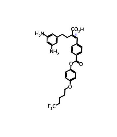 Nc1cc(N)cc(CC/C(=C\c2ccc(C(=O)Oc3ccc(OCCCCC(F)(F)F)cc3)cc2)C(=O)O)c1